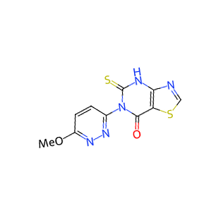 COc1ccc(-n2c(=S)[nH]c3ncsc3c2=O)nn1